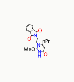 CCCC1=CC(=O)NC(OC)N1CCN1C(=O)c2ccccc2C1=O